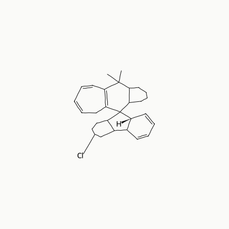 CC1(C)C2=C(CC=CC=C2)C2(C3CCC(Cl)CC3C3C=CC=C[C@H]32)C2CCCCC21